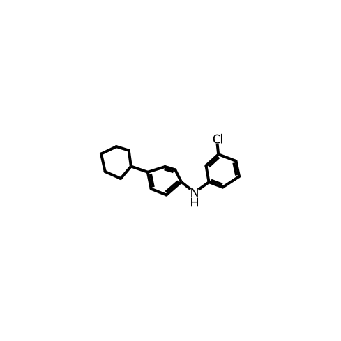 Clc1cccc(Nc2ccc(C3CCCCC3)cc2)c1